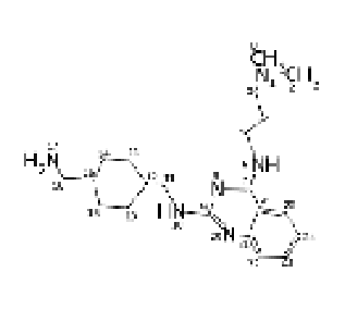 CN(C)CCCNc1nc(NC[C@H]2CC[C@H](CN)CC2)nc2ccccc12